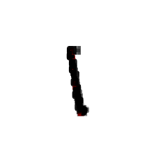 OCCOCCOCCOCCOCCOCCOCCOCCOCCOc1ccccc1